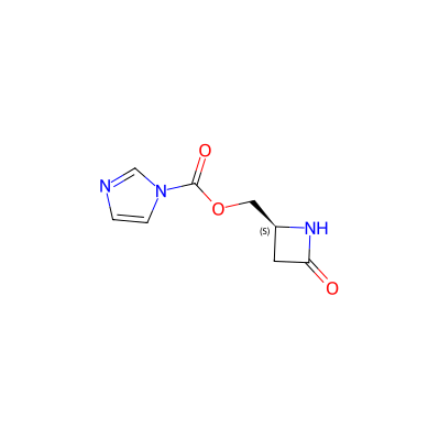 O=C1C[C@@H](COC(=O)n2ccnc2)N1